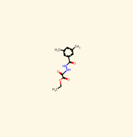 CCOC(=O)C(=O)NNC(=O)c1cc(C)cc(C)c1